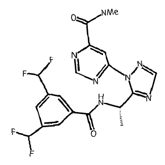 CNC(=O)c1cc(-n2ncnc2[C@H](C)NC(=O)c2cc(C(F)F)cc(C(F)F)c2)ncn1